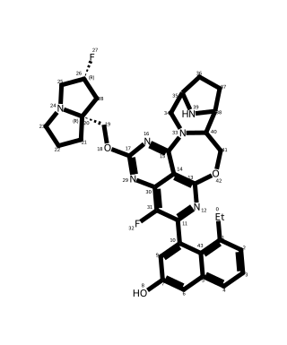 CCc1cccc2cc(O)cc(-c3nc4c5c(nc(OC[C@]67CCCN6C[C@H](F)C7)nc5c3F)N3CC5CCC(N5)C3CO4)c12